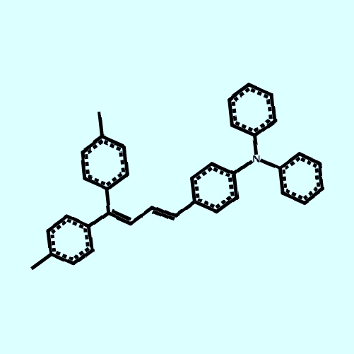 Cc1ccc(C(=CC=Cc2ccc(N(c3ccccc3)c3ccccc3)cc2)c2ccc(C)cc2)cc1